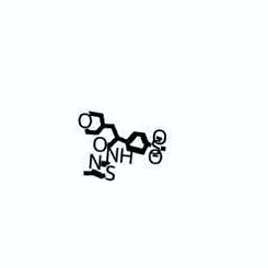 Cc1csc(NC(=O)C(CC2CCOCC2)c2ccc(S(C)(=O)=O)cc2)n1